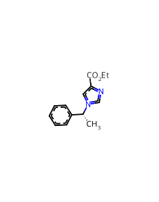 CCOC(=O)c1cn([C@H](C)c2ccccc2)cn1